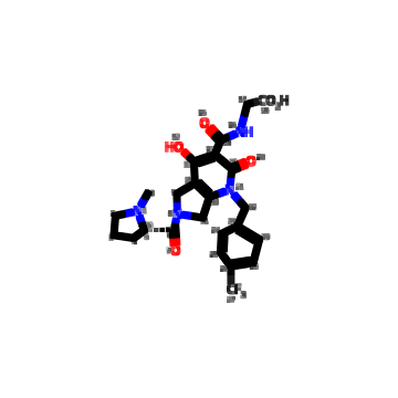 CN1CCC[C@H]1C(=O)N1Cc2c(O)c(C(=O)NCC(=O)O)c(=O)n(Cc3ccc(C(F)(F)F)cc3)c2C1